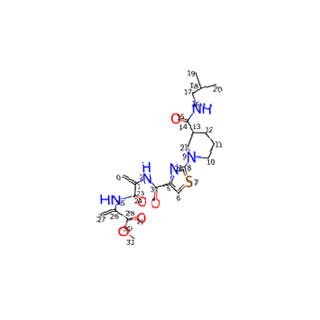 C=C(NC(=O)c1csc(N2CCCC(C(=O)NCC(C)C)C2)n1)C(=O)NC(=C)C(=O)OC